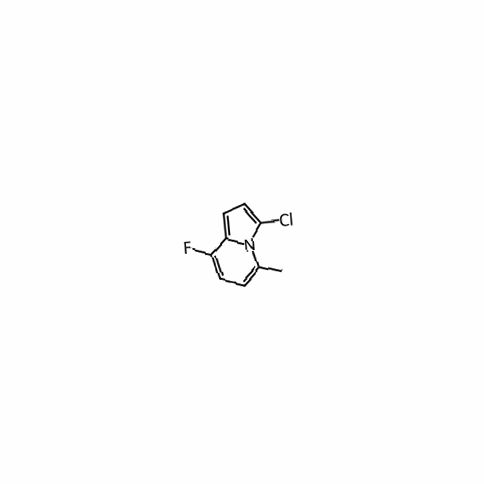 Cc1ccc(F)c2ccc(Cl)n12